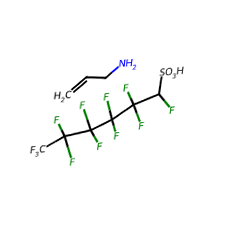 C=CCN.O=S(=O)(O)C(F)C(F)(F)C(F)(F)C(F)(F)C(F)(F)C(F)(F)F